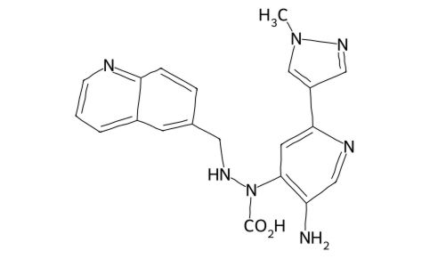 Cn1cc(-c2cc(N(NCc3ccc4ncccc4c3)C(=O)O)c(N)cn2)cn1